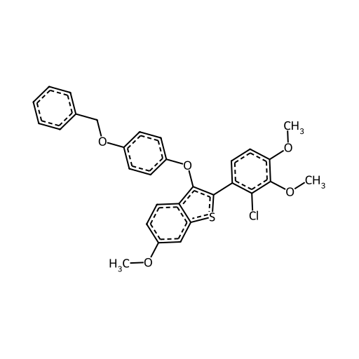 COc1ccc2c(Oc3ccc(OCc4ccccc4)cc3)c(-c3ccc(OC)c(OC)c3Cl)sc2c1